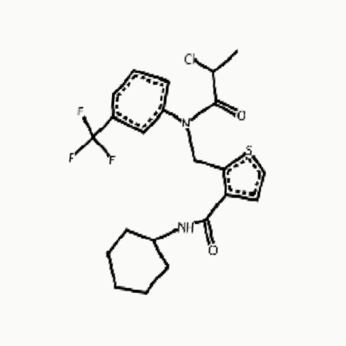 CC(Cl)C(=O)N(Cc1sccc1C(=O)NC1CCCCC1)c1cccc(C(F)(F)F)c1